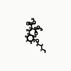 CCCCOc1cccc(C=C(C(=O)OC)C(=O)OC)c1